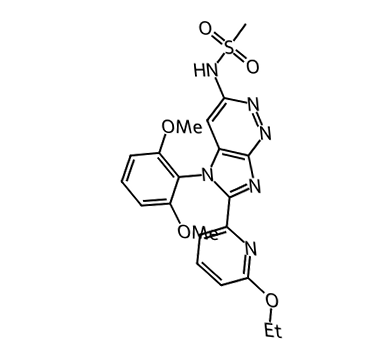 CCOc1cccc(-c2nc3nnc(NS(C)(=O)=O)cc3n2-c2c(OC)cccc2OC)n1